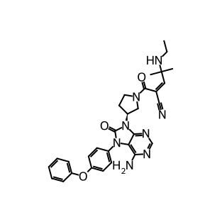 CCNC(C)(C)/C=C(/C#N)C(=O)N1CC[C@H](n2c(=O)n(-c3ccc(Oc4ccccc4)cc3)c3c(N)ncnc32)C1